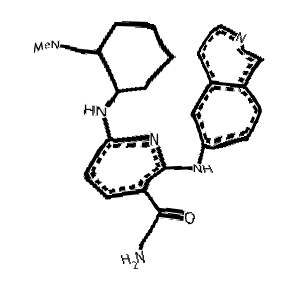 CNC1CCCCC1Nc1ccc(C(N)=O)c(Nc2ccc3cnccc3c2)n1